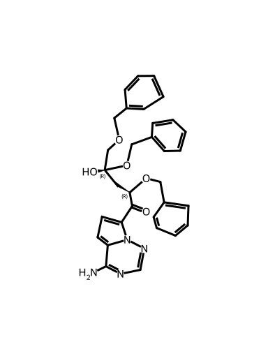 Nc1ncnn2c(C(=O)[C@@H](C[C@](O)(COCc3ccccc3)OCc3ccccc3)OCc3ccccc3)ccc12